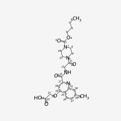 CCCCOC(=O)N1CCN(C(=O)CNC(=O)c2cc(OCC(=O)O)c3ccc(C)cc3n2)CC1